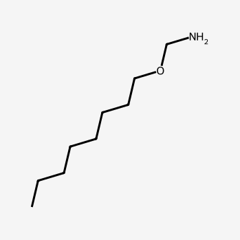 CCCCCCCCOCN